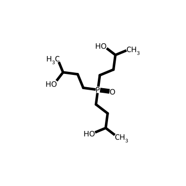 CC(O)CCP(=O)(CCC(C)O)CCC(C)O